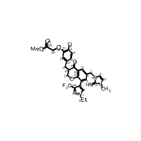 CCn1cc(-c2cc(Cn3ccn(C)c3=N)cc3c2OCC(Cc2ccc(Cl)c(OCC(=O)OC)c2)C3=O)c(C(F)(F)F)n1